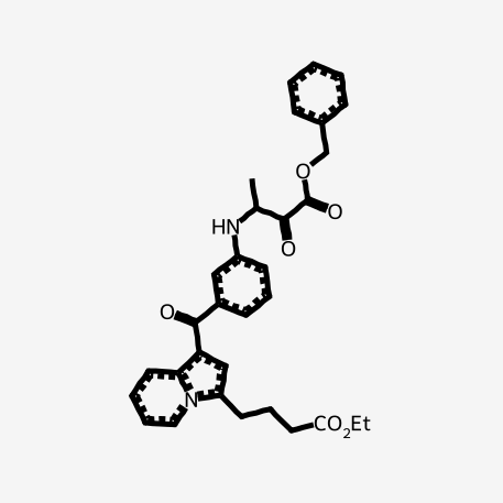 CCOC(=O)CCCc1cc(C(=O)c2cccc(NC(C)C(=O)C(=O)OCc3ccccc3)c2)c2ccccn12